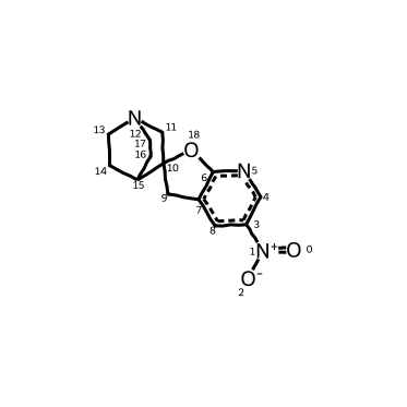 O=[N+]([O-])c1cnc2c(c1)CC1(CN3CCC1CC3)O2